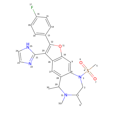 CC1CN(S(C)(=O)=O)c2cc3oc(-c4ccc(F)cc4)c(-c4ncc[nH]4)c3cc2C(C)N1C